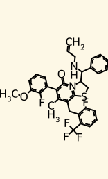 C=CCNC(c1ccccc1)C1CSc2c(Cc3c(F)cccc3C(F)(F)F)c(C)c(-c3cccc(OC)c3F)c(=O)n21